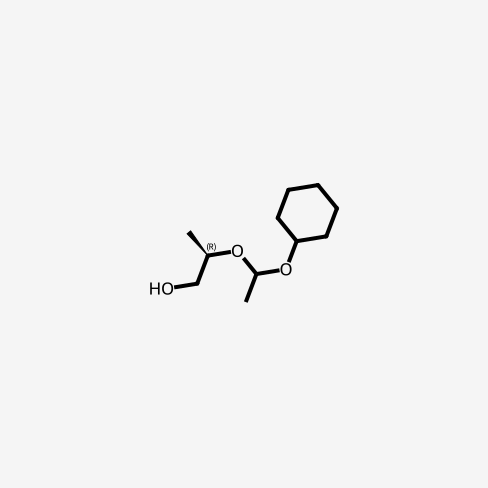 CC(OC1CCCCC1)O[C@H](C)CO